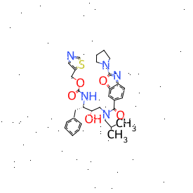 CC(C)CN(C[C@H](O)[C@H](Cc1ccccc1)NC(=O)OCc1cncs1)C(=O)c1ccc2nc(N3CCCC3)oc2c1